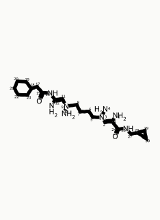 N/C(=C\N(N)CCCCN(N)/C=C(\N)NC(=O)CC1CCCCC1)C(=O)NCC1CC1